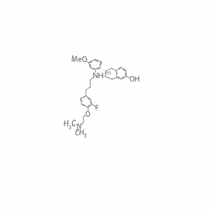 COc1ccc([C@H]2CCc3cc(O)ccc3C2)c(NCCCc2ccc(OCCN(C)C)c(F)c2)c1